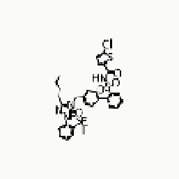 CCCCc1nn(-c2ccccc2C(F)(F)F)c(=O)n1Cc1ccc(-c2ccccc2S(=O)(=O)NC(=O)c2ccc(Cl)s2)cc1